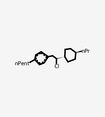 CCCCCc1ccc(CC(Cl)[C@H]2CC[C@H](CCC)CC2)cc1